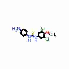 COc1c(Cl)cc(NC(=S)Nc2ccc(N)cc2)cc1Cl